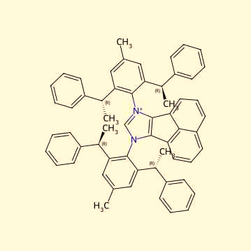 Cc1cc([C@H](C)c2ccccc2)c(-n2c[n+](-c3c([C@H](C)c4ccccc4)cc(C)cc3[C@H](C)c3ccccc3)c3c2-c2cccc4cccc-3c24)c([C@H](C)c2ccccc2)c1